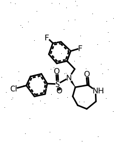 O=C1NCCCC[C@H]1N(Cc1ccc(F)cc1F)S(=O)(=O)c1ccc(Cl)cc1